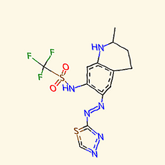 CC1CCc2cc(N=Nc3nncs3)c(NS(=O)(=O)C(F)(F)F)cc2N1